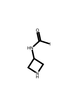 O=C(I)NC1CNC1